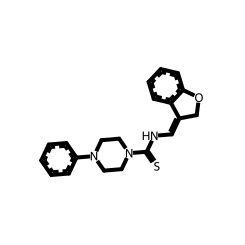 S=C(N/C=C1/COc2ccccc21)N1CCN(c2ccccc2)CC1